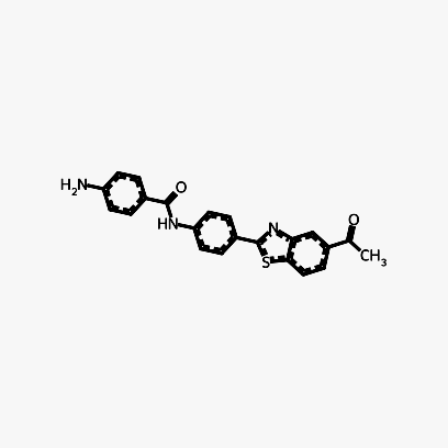 CC(=O)c1ccc2sc(-c3ccc(NC(=O)c4ccc(N)cc4)cc3)nc2c1